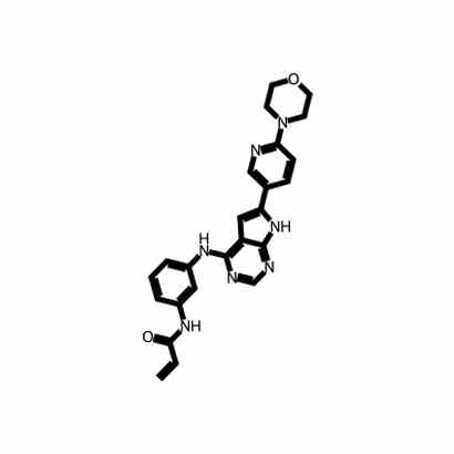 C=CC(=O)Nc1cccc(Nc2ncnc3[nH]c(-c4ccc(N5CCOCC5)nc4)cc23)c1